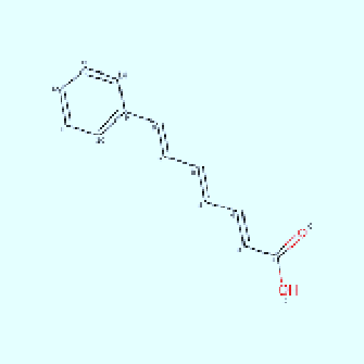 O=C(O)/C=C/C=C/C=C/c1ccccc1